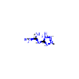 NC(N)=Nc1nnn[nH]1